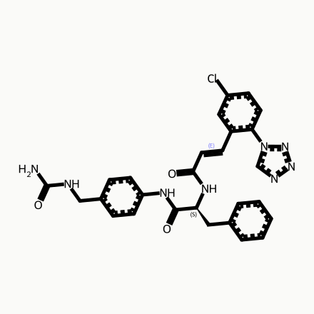 NC(=O)NCc1ccc(NC(=O)[C@H](Cc2ccccc2)NC(=O)/C=C/c2cc(Cl)ccc2-n2cnnn2)cc1